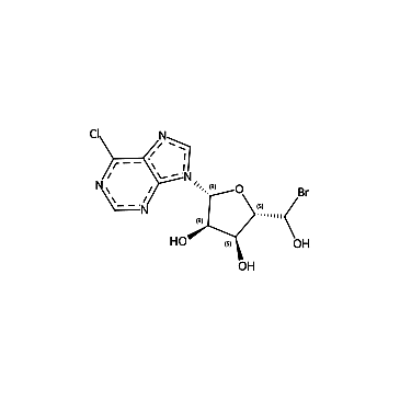 OC(Br)[C@H]1O[C@@H](n2cnc3c(Cl)ncnc32)[C@H](O)[C@@H]1O